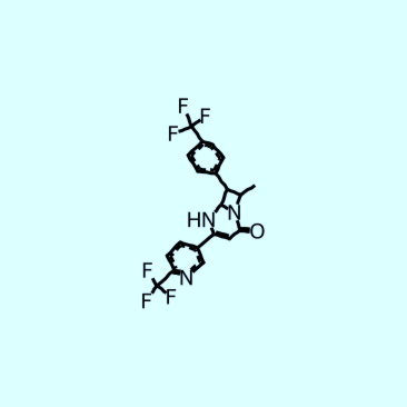 CC1C(c2ccc(C(F)(F)F)cc2)C2NC(c3ccc(C(F)(F)F)nc3)=CC(=O)N12